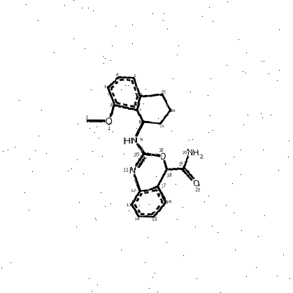 COc1cccc2c1C(NC1=Nc3cc[c]cc3C(C(N)=O)O1)CCC2